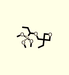 CCC(OCC1(CC)COC1)[Si](OC)(OC)OC